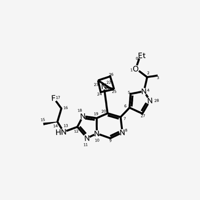 CCOC(C)n1cc(-c2ncn3nc(N[C@@H](C)CF)nc3c2N2CC3CC2C3)cn1